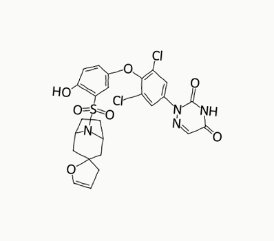 O=c1cnn(-c2cc(Cl)c(Oc3ccc(O)c(S(=O)(=O)N4C5CCC4CC4(CC=CO4)C5)c3)c(Cl)c2)c(=O)[nH]1